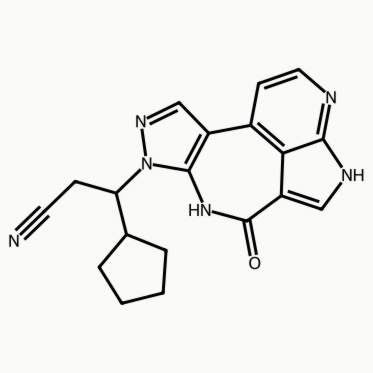 N#CCC(C1CCCC1)n1ncc2c1NC(=O)c1c[nH]c3nccc-2c13